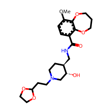 COc1ccc(C(=O)NC[C@@H]2CCN(CCC3OCCO3)C[C@H]2O)c2c1OCCCO2